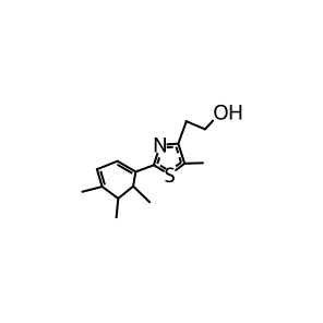 CC1=CC=C(c2nc(CCO)c(C)s2)C(C)C1C